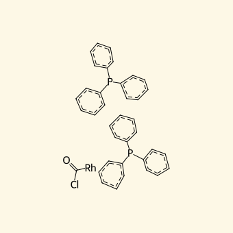 O=[C](Cl)[Rh].c1ccc(P(c2ccccc2)c2ccccc2)cc1.c1ccc(P(c2ccccc2)c2ccccc2)cc1